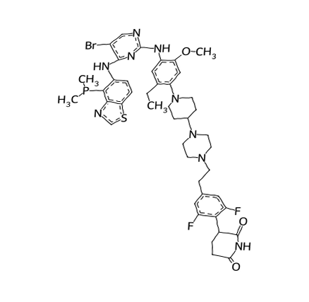 CCc1cc(Nc2ncc(Br)c(Nc3ccc4scnc4c3P(C)C)n2)c(OC)cc1N1CCC(N2CCN(CCc3cc(F)c(C4CCC(=O)NC4=O)c(F)c3)CC2)CC1